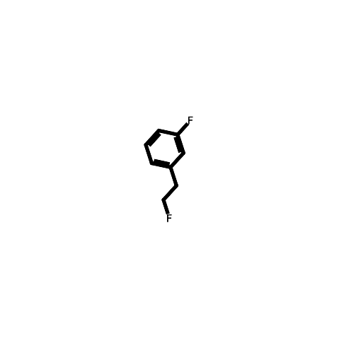 FCCc1cccc(F)c1